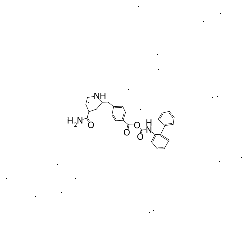 NC(=O)C1CCNC(Cc2ccc(C(=O)OC(=O)Nc3ccccc3-c3ccccc3)cc2)C1